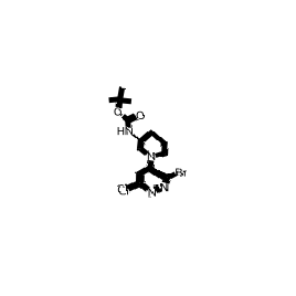 CC(C)(C)OC(=O)N[C@H]1CCCN(c2cc(Cl)nnc2Br)C1